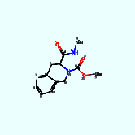 CCCCNC(=O)[C@@H]1Cc2ccccc2CN1C(=O)OC(C)(C)C